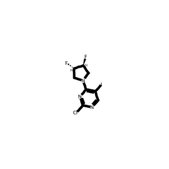 F[C@H]1CN(c2nc(Cl)ncc2I)C[C@@H]1F